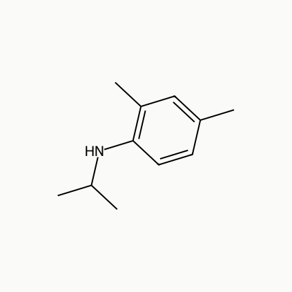 Cc1ccc(NC(C)C)c(C)c1